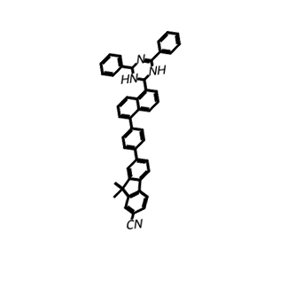 CC1(C)c2cc(C#N)ccc2-c2ccc(-c3ccc(-c4cccc5c(C6NC(c7ccccc7)=NC(c7ccccc7)N6)cccc45)cc3)cc21